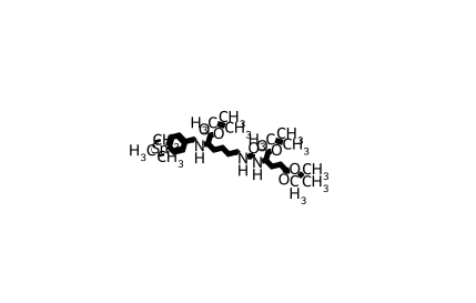 CC(C)(C)OC(=O)CCC(NC(=O)NCCCCC(NCc1cc[c]([Sn]([CH3])([CH3])[CH3])cc1)C(=O)OC(C)(C)C)C(=O)OC(C)(C)C